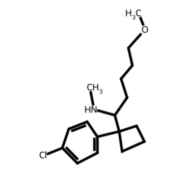 CNC(CCCCOC)C1(c2ccc(Cl)cc2)CCC1